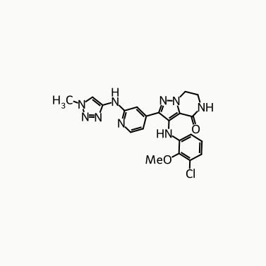 COc1c(Cl)cccc1Nc1c(-c2ccnc(Nc3cn(C)nn3)c2)nn2c1C(=O)NCC2